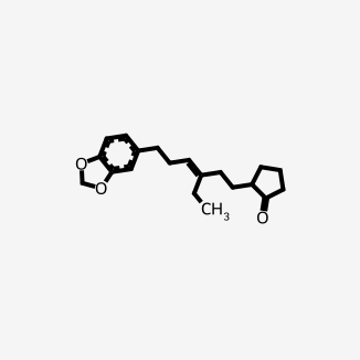 CC/C(=C\CCc1ccc2c(c1)OCO2)CCC1CCCC1=O